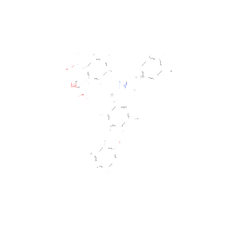 O=C(O)c1ccc(CN(Cc2ccccc2)Cc2ccc(Oc3ccccc3)cc2)cc1C(=O)O